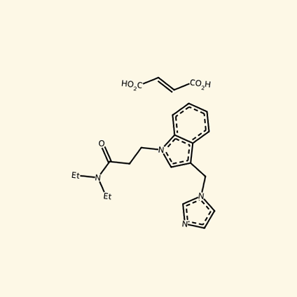 CCN(CC)C(=O)CCn1cc(Cn2ccnc2)c2ccccc21.O=C(O)/C=C/C(=O)O